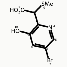 CSC(C(=O)O)c1ncc(Br)cc1O